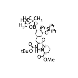 COC(=O)[C@@H]1CCCN(C(=O)[C@H](Cc2cc(O[Si](C(C)C)(C(C)C)C(C)C)cc(B3OC(C)(C)C(C)(C)O3)c2)NC(=O)OC(C)(C)C)N1